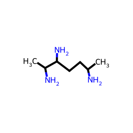 CC(N)CCC(N)C(C)N